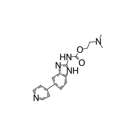 CN(C)CCOC(=O)Nc1nc2cc(-c3ccncc3)ccc2[nH]1